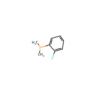 CP(C)c1ccccc1F